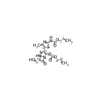 C=CCOC(=O)Nc1nc(C)c(C2=C(OC(=O)OCC=C)N3C(=O)[C@H](CO)[C@H]3S2)s1